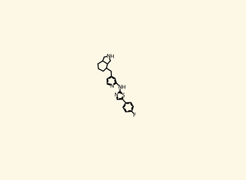 Fc1ccc(-c2cnc(Nc3cc(CC4CCCC5CNCC54)ccn3)s2)cc1